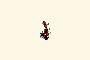 CC(C)[C@H](CO)Nc1nc(Nc2ccc(C(=O)NCCOCCNC(=O)OC(C)(C)C)c(Cl)c2)c2ncn(C(C)C)c2n1